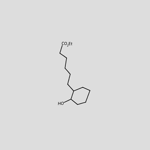 CCOC(=O)CCCCCC1CCCCC1O